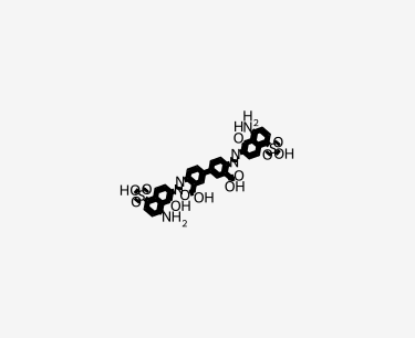 Nc1ccc(S(=O)(=O)O)c2ccc(/N=N/c3ccc(-c4ccc(/N=N/c5ccc6c(S(=O)(=O)O)ccc(N)c6c5O)c(C(=O)O)c4)cc3C(=O)O)c(O)c12